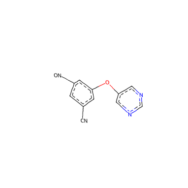 N#Cc1cc(N=O)cc(Oc2cncnc2)c1